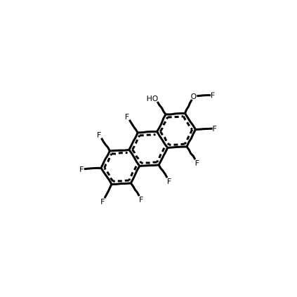 Oc1c(OF)c(F)c(F)c2c(F)c3c(F)c(F)c(F)c(F)c3c(F)c12